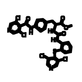 COC(=O)C(Cc1ccc(NC(=O)c2c(Cl)cncc2Cl)cc1)NC(=O)Nc1ccccc1Sc1c(Cl)cncc1Cl